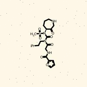 CC(C)CCN(C(=O)CNC(=O)c1ccco1)C(=O)N([C@H]1CCCNCC1=O)S(C)(=O)=O